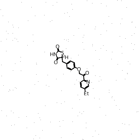 [2H]C1(Cc2ccc(OCC(=O)c3ccc(CC)cn3)cc2)SC(=O)NC1=O